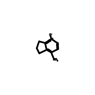 O=[N+]([O-])c1cc[n+]([O-])c2c1CCC2